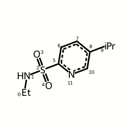 CCNS(=O)(=O)c1ccc(C(C)C)cn1